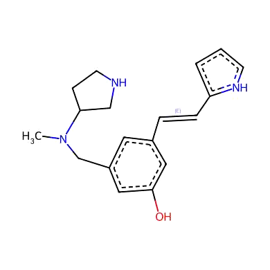 CN(Cc1cc(O)cc(/C=C/c2ccc[nH]2)c1)C1CCNC1